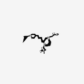 COC(=O)CCN1CCN(C2CN(C)C(=O)O2)C(CCCCC2CCN(C3CC3)CC2)C1